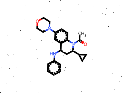 CC(=O)N1c2ccc(N3CCOCC3)cc2C(Nc2ccccc2)CC1C1CC1